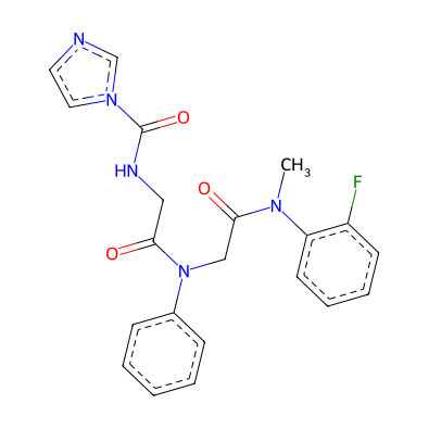 CN(C(=O)CN(C(=O)CNC(=O)n1ccnc1)c1ccccc1)c1ccccc1F